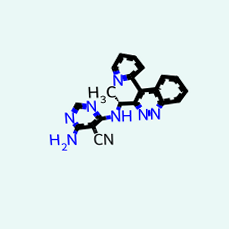 C[C@@H](Nc1ncnc(N)c1C#N)c1nnc2ccccc2c1-c1ccccn1